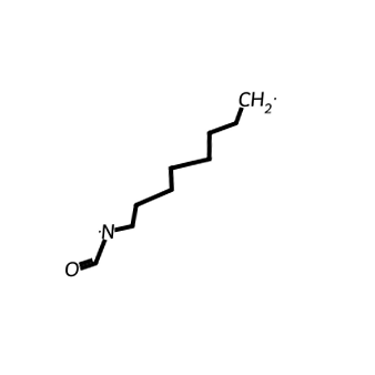 [CH2]CCCCCCC[N]C=O